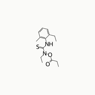 CCC(=O)ON(CC)C(=S)Nc1c(C)cccc1CC